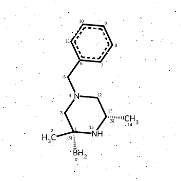 B[C@]1(C)CN(Cc2ccccc2)C[C@H](C)N1